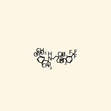 Cc1ccc(S(C)(=O)=O)cc1C(=O)NCCC(C)(C)S(=O)(=O)c1cccc(C(F)(F)F)c1